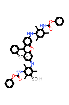 Cc1cc(C)c(Nc2ccc3c(-c4ccccc4S(=O)(=O)O)c4cc/c(=N\c5c(C)c(NC(=O)Oc6ccccc6)c(C)c(S(=O)(=O)O)c5C)cc-4oc3c2)c(C)c1NC(=O)Oc1ccccc1